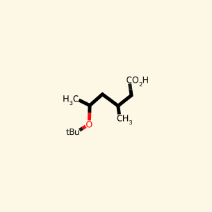 CC(CC(=O)O)CC(C)OC(C)(C)C